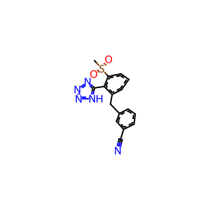 CS(=O)(=O)c1cccc(Cc2cccc(C#N)c2)c1-c1nnn[nH]1